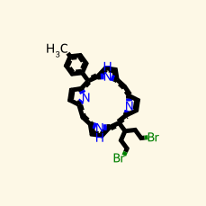 Cc1ccc(-c2c3nc(cc4ccc([nH]4)c(C(CCBr)CCBr)c4nc(cc5ccc2[nH]5)C=C4)C=C3)cc1